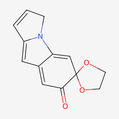 O=C1C=c2cc3n(c2=CC12OCCO2)CC=C3